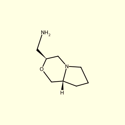 NC[C@H]1CN2CCC[C@@H]2CO1